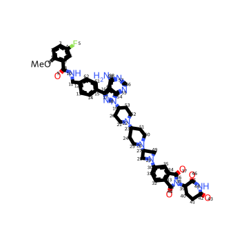 COc1ccc(F)cc1C(=O)NCc1ccc(-c2nn(C3CCN(C4CCN(C5CN(c6ccc7c(c6)C(=O)N(C6CCC(=O)NC6=O)C7=O)C5)CC4)CC3)c3ncnc(N)c23)cc1